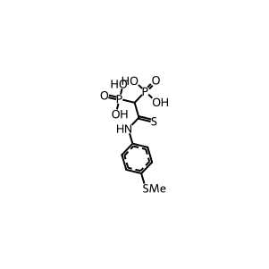 CSc1ccc(NC(=S)C(P(=O)(O)O)P(=O)(O)O)cc1